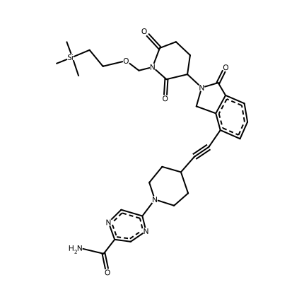 C[Si](C)(C)CCOCN1C(=O)CCC(N2Cc3c(C#CC4CCN(c5cnc(C(N)=O)cn5)CC4)cccc3C2=O)C1=O